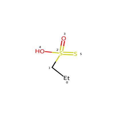 CCCS(=O)(O)=S